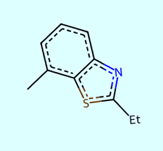 CCc1nc2cccc(C)c2s1